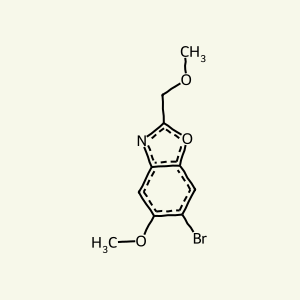 COCc1nc2cc(OC)c(Br)cc2o1